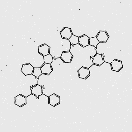 C1=Cc2c(n(-c3nc(-c4ccccc4)nc(-c4ccccc4)n3)c3ccc4c(c5ccccc5n4-c4cccc(-n5c6ccccc6c6cc7c8ccccc8n(-c8nc(-c9ccccc9)cc(-c9ccccc9)n8)c7cc65)c4)c23)CC1